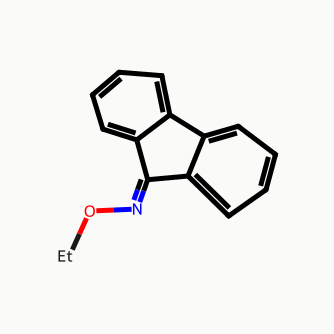 CCON=C1c2ccccc2-c2ccccc21